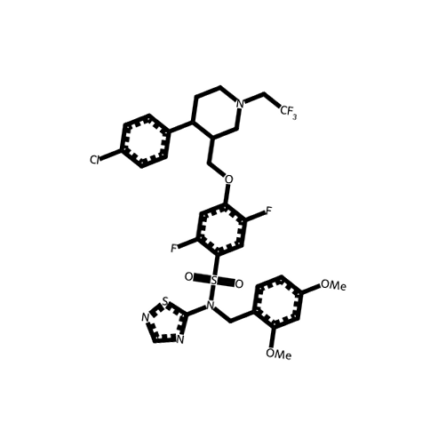 COc1ccc(CN(c2ncns2)S(=O)(=O)c2cc(F)c(OCC3CN(CC(F)(F)F)CCC3c3ccc(Cl)cc3)cc2F)c(OC)c1